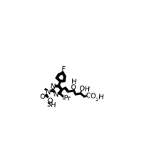 CC(C)c1nc(N(C)C(=O)OS)nc(-c2ccc(F)cc2)c1/C=C/[C@@H](O)C[C@@H](O)CC(=O)O